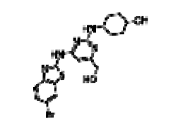 OCc1cc(Nc2nc3ccc(Br)cc3s2)nc(NC2CCC(O)CC2)n1